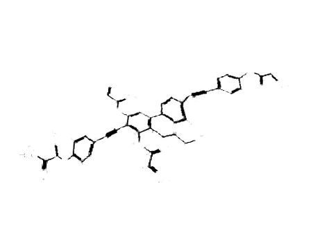 C=CC(=O)Oc1ccc(C#Cc2ccc(-c3cc(OC(=O)C=C)c(C#Cc4ccc(OC(=O)C(=C)C)cc4)c(OC(=O)C=C)c3CCCF)cc2)cc1